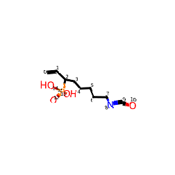 C=CC(CCCCCN=C=O)P(=O)(O)O